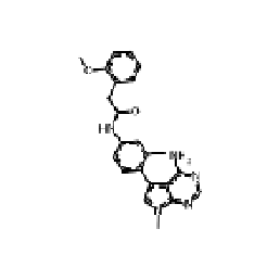 COc1ccccc1CC(=O)Nc1ccc(-c2cn(C)c3ncnc(N)c23)c(C)c1